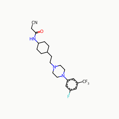 N#CCC(=O)NC1CCC(CCN2CCN(c3cc(F)cc(C(F)(F)F)c3)CC2)CC1